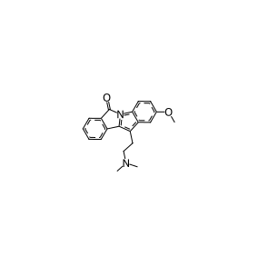 COc1ccc2c(c1)c(CCN(C)C)c1n2C(=O)c2ccccc2-1